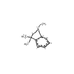 CN1[C]C(C)(C)c2ccccc21